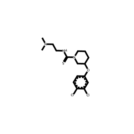 CN(C)CCNC(=S)N1CCCC(Oc2ccc(Cl)c(Cl)c2)C1